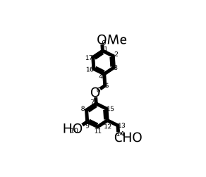 COc1ccc(COc2cc(O)cc(CC=O)c2)cc1